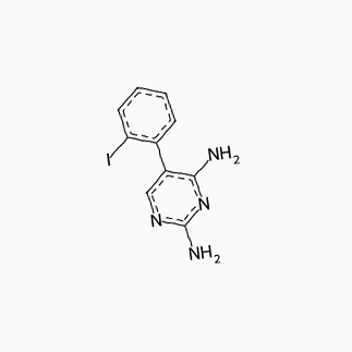 Nc1ncc(-c2ccccc2I)c(N)n1